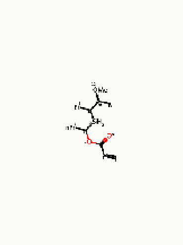 C=CC(=O)OC(CCC)[SiH2]C(CC)C(C)OC